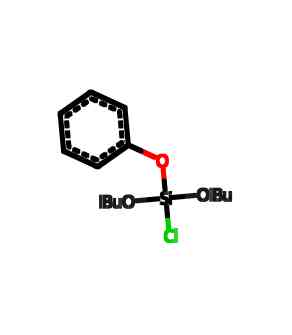 CC(C)CO[Si](Cl)(OCC(C)C)Oc1ccccc1